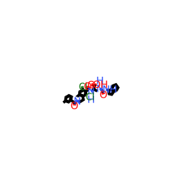 Cc1cccc(C(=O)N2CCc3c(cc(Cl)c(C(=O)NC(CNC(=O)NC4CCc5ccccc54)C(=O)O)c3Cl)C2)c1